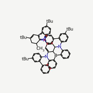 CC1CC(C(C)(C)C)=Cc2c1n(C1=CC3C4B(c5ccccc5N(c5ccc(C(C)(C)C)cc5-c5ccccc5)C4=C1)c1ccccc1N3c1ccc(C(C)(C)C)cc1-c1ccccc1)c1ccc(C(C)(C)C)cc21